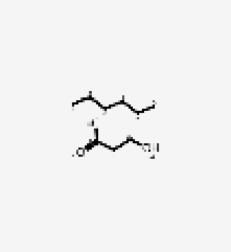 CCCCCC.O=C(Cl)CCO